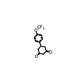 O=C1CC(=O)CC(c2ccc(OC(F)(F)F)cc2)C1